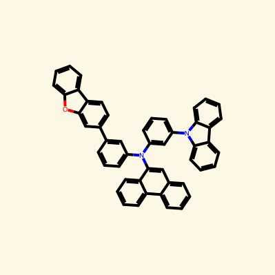 c1cc(-c2ccc3c(c2)oc2ccccc23)cc(N(c2cccc(-n3c4ccccc4c4ccccc43)c2)c2cc3ccccc3c3ccccc23)c1